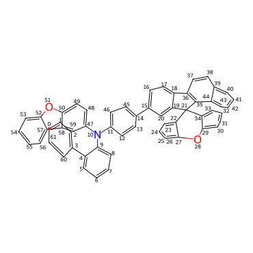 c1ccc(-c2ccccc2N(c2ccc(-c3ccc4c(c3)C3(c5ccccc5Oc5ccccc53)c3c-4ccc4ccccc34)cc2)c2ccc3oc4ccccc4c3c2)cc1